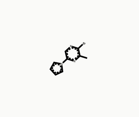 Cc1nc(-n2cccc2)cnc1Br